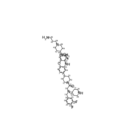 CN(/C=C1/Oc2ccc(C3CCN(C(=O)CN(Cc4ccc(F)c(F)c4)C4CCNCC4)CC3)cc2N/C1=N/C=O)C1CCN(CCCN)CC1